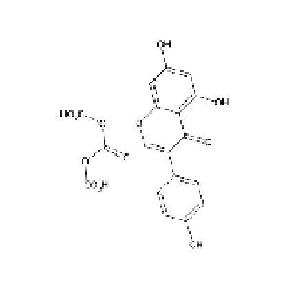 O=C(O)OC(=O)OC(=O)O.O=c1c(-c2ccc(O)cc2)coc2cc(O)cc(O)c12